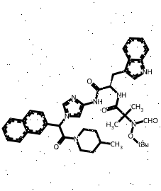 CC1CCN(C(=O)C(c2ccc3ccccc3c2)n2cnc(NC(=O)[C@@H](Cc3c[nH]c4ccccc34)NC(=O)C(C)(C)N(C=O)OC(C)(C)C)c2)CC1